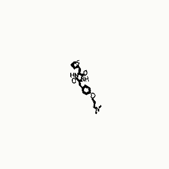 CN(C)CCCOc1ccc(C=c2[nH]c(=O)c(=Cc3cccs3)[nH]c2=O)cc1